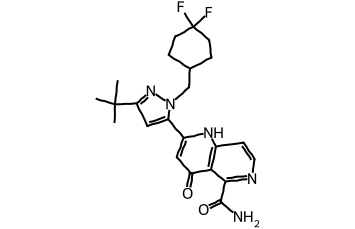 CC(C)(C)c1cc(-c2cc(=O)c3c(C(N)=O)nccc3[nH]2)n(CC2CCC(F)(F)CC2)n1